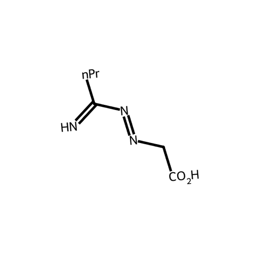 CCCC(=N)N=NCC(=O)O